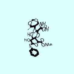 COC(=O)C1OC(Sc2ccccc2)C(O)C(O)C1OC(OC1COCO[C@H]1C)[C@@H](N)O